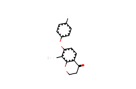 Cc1c(Oc2ccc(C(F)(F)F)cc2)ccc2c1OCCC2=O